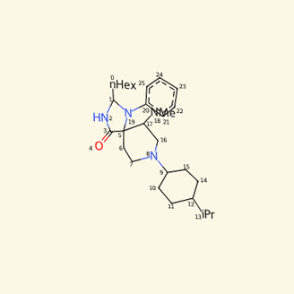 CCCCCCC1NC(=O)C2(CCN(C3CCC(C(C)C)CC3)CC2NC)N1c1ccccc1